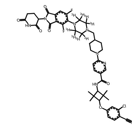 [2H]C1([2H])N(CC2CCN(c3ccc(C(=O)NC4C(C)(C)C(Oc5ccc(C#N)c(Cl)c5)C4(C)C)cn3)CC2)C([2H])([2H])C([2H])([2H])N(c2c(F)cc3c(c2F)C(=O)N(C2CCC(=O)NC2=O)C3=O)C1([2H])[2H]